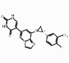 O=c1[nH]cc(-c2cc([C@H]3C[C@@H]3c3ccc(F)c(C(F)(F)F)c3)c3nccn3n2)c(=O)[nH]1